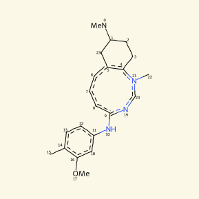 CNC1CCc2c(cccc(Nc3ccc(C)c(OC)c3)ncn2C)C1